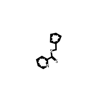 S=C(SCc1ccccc1)c1ccccn1